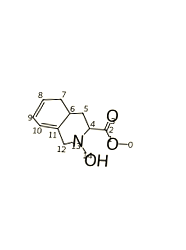 COC(=O)C1CC2CC=CC=C2CN1O